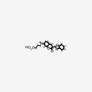 CN(CCCC(=O)O)c1ccc2cc(-c3nc4ccccc4o3)c(=O)oc2c1